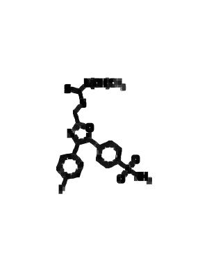 CN(O)C(=S)SCc1nc(-c2ccc(F)cc2)c(-c2ccc(S(N)(=O)=O)cc2)o1